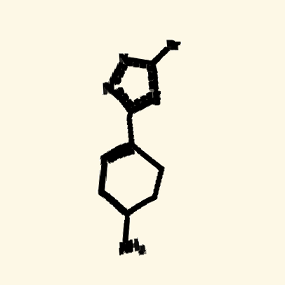 NC1CC=C(c2nnc(Br)s2)CC1